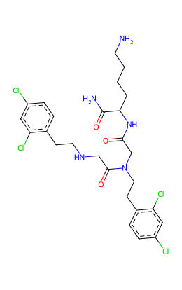 NCCCCC(NC(=O)CN(CCc1ccc(Cl)cc1Cl)C(=O)CNCCc1ccc(Cl)cc1Cl)C(N)=O